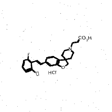 Cl.O=C(O)CCN1CCC2(CC1)COc1cc(C=Cc3c(F)cccc3Cl)ccc12